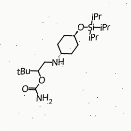 CC(C)[Si](O[C@H]1CC[C@H](NCC(OC(N)=O)C(C)(C)C)CC1)(C(C)C)C(C)C